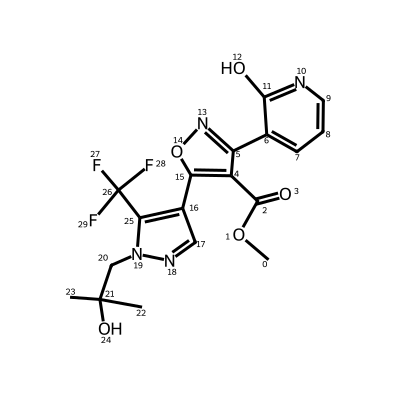 COC(=O)c1c(-c2cccnc2O)noc1-c1cnn(CC(C)(C)O)c1C(F)(F)F